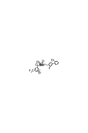 CCc1ccccc1-c1ccc(CCNC(=O)N(CC)NC(=O)c2cc(C(F)(F)F)c[n+]([O-])c2)c(F)c1